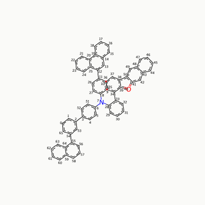 c1cc(-c2ccc(N(c3ccc(-c4cc5ccccc5c5ccccc45)cc3)c3ccccc3-c3cccc4c3oc3cc5ccccc5cc34)cc2)cc(-c2cccc3ccccc23)c1